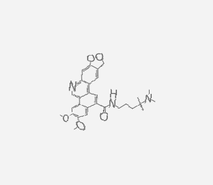 COc1cc2c(C(=O)NCCCC(C)(C)N(C)C)cc3c4cc5c(cc4ncc3c2cc1OC)OOC5